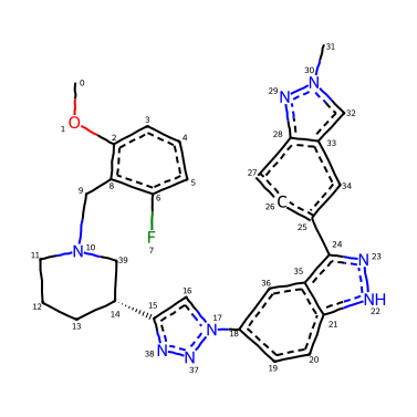 COc1cccc(F)c1CN1CCC[C@@H](c2cn(-c3ccc4[nH]nc(-c5ccc6nn(C)cc6c5)c4c3)nn2)C1